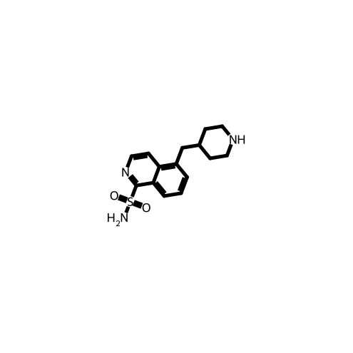 NS(=O)(=O)c1nccc2c(CC3CCNCC3)cccc12